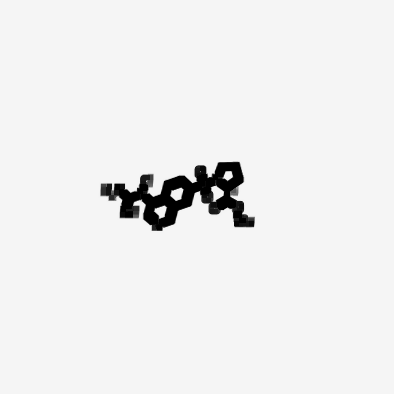 CC(C)(C)OC(=O)[C@@H]1CCCN1S(=O)(=O)c1ccc2c(N(Cl)C(=N)N)cncc2c1